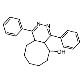 OC1CCCCCC2C(c3ccccc3)=NN=C(c3ccccc3)C12